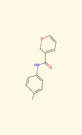 Cc1ccc(NC(=O)C2=CC=COC2)cc1